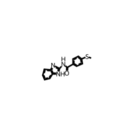 CSc1ccc(C(=O)Nc2nc3ccccc3[nH]2)cc1